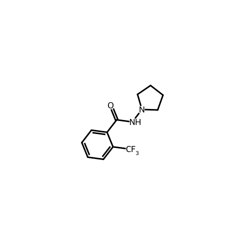 O=C(NN1CCCC1)c1ccccc1C(F)(F)F